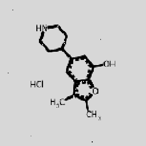 Cc1oc2c(O)cc(C3CCNCC3)cc2c1C.Cl